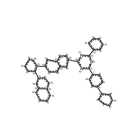 c1ccc(-c2ccc(-c3nc(-c4ccccc4)nc(-c4ccc5cc(-c6ccccc6-c6ccc7ccccc7c6)ccc5c4)n3)cc2)cc1